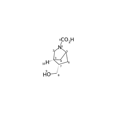 O=C(O)N1C[C@H]2CC1C[C@@H]2CO